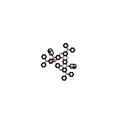 c1ccc(N(c2ccccc2)c2cc3c4c(c2)Oc2cc5c(cc2B4c2cc4c(cc2O3)N(C23CC6CC(CC(C6)C2)C3)c2cc(N(c3ccccc3)c3ccccc3)cc3c2B4c2ccccc2O3)B2c3ccccc3Oc3cc(N(c4ccccc4)c4ccccc4)cc(c32)N5C23CC4CC(CC(C4)C2)C3)cc1